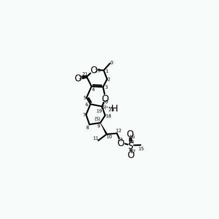 CC1CC2=C(C=C3CC[C@H](C(C)COS(C)(=O)=O)C[C@@H]3O2)C(=O)O1